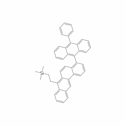 C[Si](C)(C)CCc1c2ccccc2cc2c1ccc1c(-c3c4ccccc4c(-c4ccccc4)c4ccccc34)cccc12